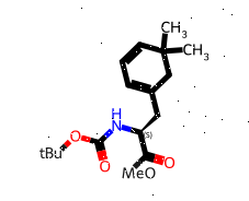 COC(=O)[C@H](CC1=CC=CC(C)(C)C1)NC(=O)OC(C)(C)C